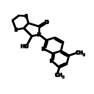 Cc1cc(C)c2ccc(N3C(=O)C4SCCSC4C3O)nc2n1